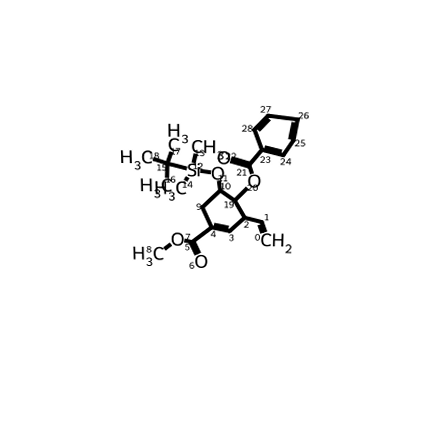 C=CC1C=C(C(=O)OC)CC(O[Si](C)(C)C(C)(C)C)C1OC(=O)c1ccccc1